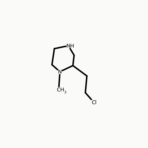 CN1CCNCC1CCCl